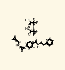 O=C(NCCc1ccccn1)c1ccc([C@@H]2C[C@H]2NCC2CC2)cc1.O=C(O)C(F)(F)F.O=C(O)C(F)(F)F